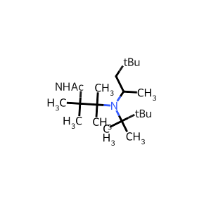 CC(=O)NC(C)(C)C(C)(C)N(C(C)CC(C)(C)C)C(C)(C)C(C)(C)C